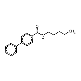 CCCCCNC(=O)c1ccc(-c2ccccc2)cc1